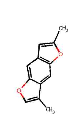 Cc1cc2cc3occ(C)c3cc2o1